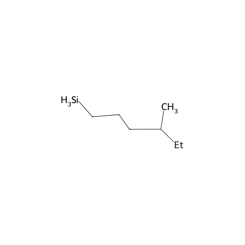 CCC(C)CCC[SiH3]